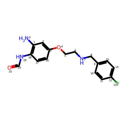 Nc1cc(OCCNCc2ccc(F)cc2)ccc1NC=O